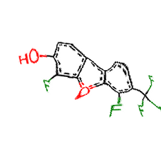 Oc1ccc2c(oc3c(F)c(C(F)(F)F)ccc32)c1F